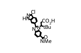 CNC(=O)c1ccc2nc(-c3ccc4c(Cl)n[nH]c4c3)n(C(CC(=O)O)C(C)(C)C)c2c1